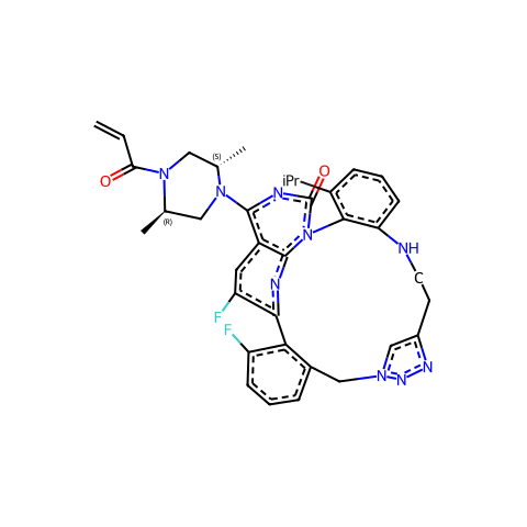 C=CC(=O)N1C[C@H](C)N(c2nc(=O)n3c4nc(c(F)cc24)-c2c(F)cccc2Cn2cc(nn2)CCNc2cccc(C(C)C)c2-3)C[C@H]1C